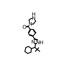 CC(C)(C)C(c1nc(-c2ccc(C(=O)N3CCNCC3)cc2)c[nH]1)C1CCCCC1